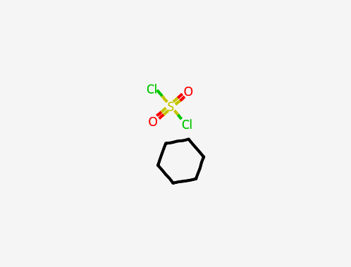 C1CCCCC1.O=S(=O)(Cl)Cl